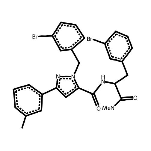 CNC(=O)C(Cc1cccc(Br)c1)NC(=O)c1cc(-c2cccc(C)c2)nn1Cc1cccc(Br)c1